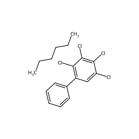 CCCCCC.Clc1cc(-c2ccccc2)c(Cl)c(Cl)c1Cl